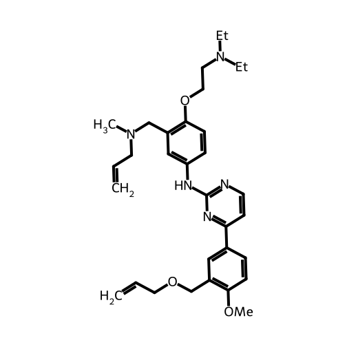 C=CCOCc1cc(-c2ccnc(Nc3ccc(OCCN(CC)CC)c(CN(C)CC=C)c3)n2)ccc1OC